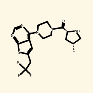 C[C@H]1CN[C@H](C(=O)N2CCN(c3ncnc4sc(CC(F)(F)F)cc34)CC2)C1